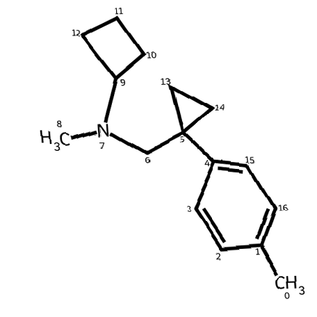 Cc1ccc(C2(CN(C)C3CCC3)CC2)cc1